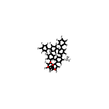 Fc1c(F)c(F)c(-c2c(F)c(F)c(F)c([B-](c3c(F)c(F)c(F)c(-c4c(F)c(F)c(F)c(F)c4F)c3F)(c3c(F)c(F)c(F)c(-c4c(F)c(F)c(F)c(F)c4F)c3F)c3c(F)c(F)c(F)c(-c4c(F)c(F)c(F)c(F)c4F)c3F)c2F)c(F)c1F.[Mg+][Br]